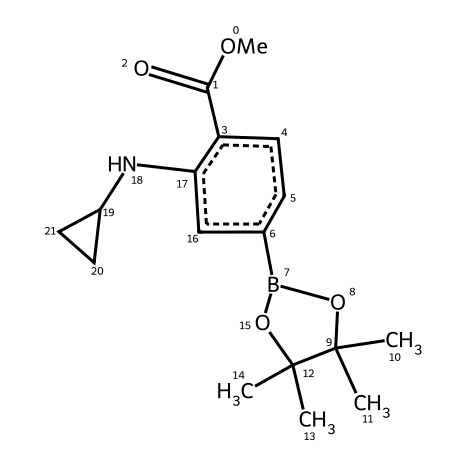 COC(=O)c1ccc(B2OC(C)(C)C(C)(C)O2)cc1NC1CC1